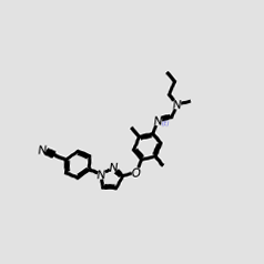 CCCN(C)/C=N/c1cc(C)c(Oc2ccn(-c3ccc(C#N)cc3)n2)cc1C